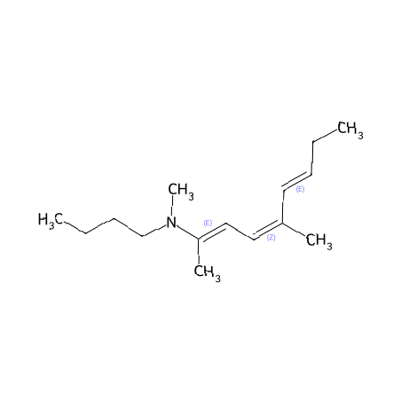 CC/C=C/C(C)=C\C=C(/C)N(C)CCCC